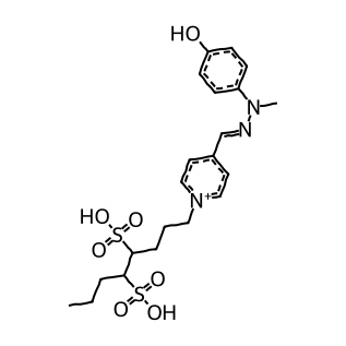 CCCC(C(CCC[n+]1ccc(C=NN(C)c2ccc(O)cc2)cc1)S(=O)(=O)O)S(=O)(=O)O